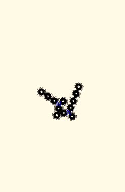 c1ccc(N(c2ccc(-c3ccc(-c4ccc(C5CCCCC5)cc4)cc3)cc2)c2ccc(C3(c4ccc(N(c5ccccc5)c5ccc(-c6ccc(C7CCCCC7)cc6)cc5)cc4)CCCCC3)cc2)cc1